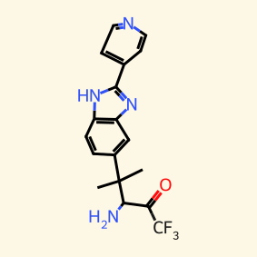 CC(C)(c1ccc2[nH]c(-c3ccncc3)nc2c1)C(N)C(=O)C(F)(F)F